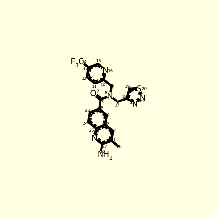 Cc1cc2cc(C(=O)N(Cc3ccc(C(F)(F)F)cn3)Cc3csnn3)ccc2nc1N